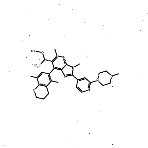 Cc1nc2c(cc(-c3ccnc(N4CCN(C)CC4)c3)n2C)c(-c2cc(F)c3c(c2C)CCCO3)c1C(OC(C)(C)C)C(=O)O